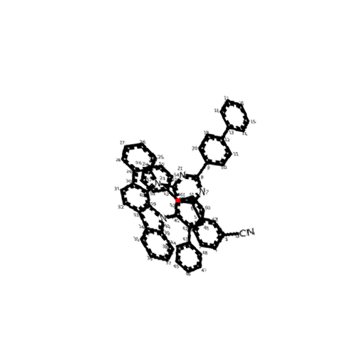 N#Cc1cccc(-c2nc(-c3ccc(-c4ccccc4)cc3)nc(-n3c4ccccc4c4ccc5c6ccccc6n(-c6c(-c7ccccc7)cccc6-c6ccccc6)c5c43)n2)c1